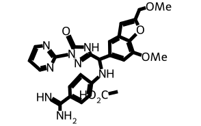 CC(=O)O.COCc1cc2cc(C(Nc3ccc(C(=N)N)cc3)c3nn(-c4ncccn4)c(=O)[nH]3)cc(OC)c2o1